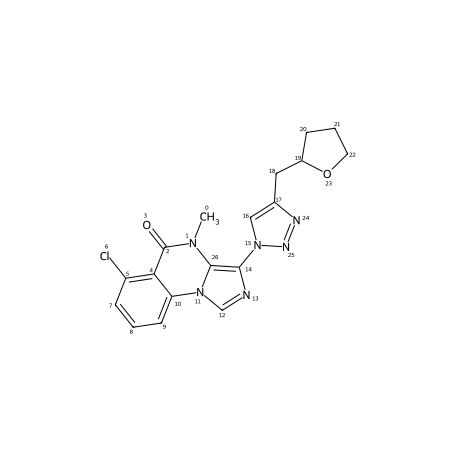 Cn1c(=O)c2c(Cl)cccc2n2cnc(-n3cc(CC4CCCO4)nn3)c12